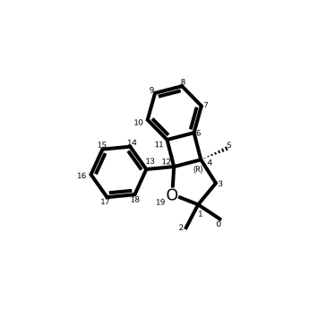 CC1(C)C[C@]2(C)c3ccccc3C2(c2ccccc2)O1